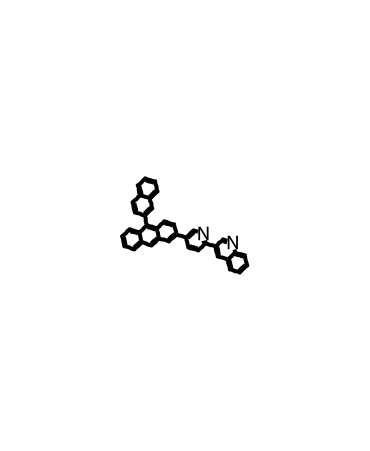 c1ccc2cc(-c3c4ccccc4cc4cc(-c5ccc(-c6cnc7ccccc7c6)nc5)ccc34)ccc2c1